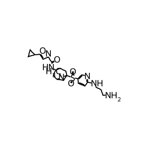 CN1C2CC(NC(=O)c3cc(C4CC4)on3)CCC1(S(=O)(=O)c1ccc(NCCCN)nc1)C2